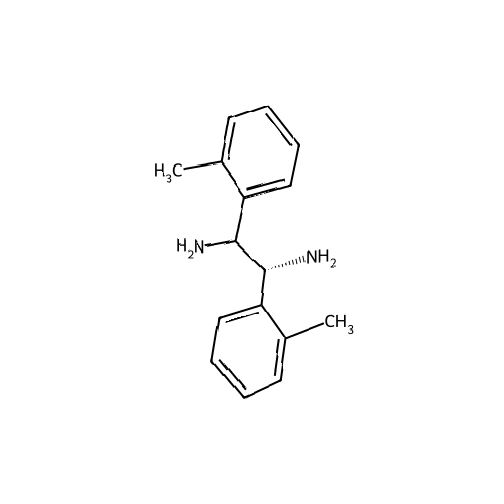 Cc1ccccc1C(N)[C@H](N)c1ccccc1C